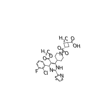 COC(=O)C1=C(C2CCN(S(=O)(=O)[C@H]3C[C@](C)(C(=O)O)C3)CC2)NC(c2nccs2)=NC1c1cccc(F)c1Cl